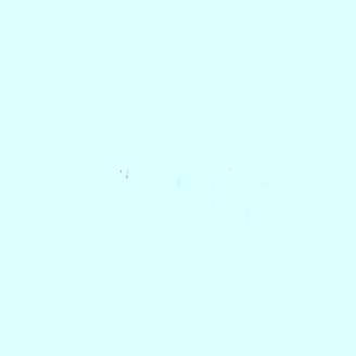 FC(F)=C(F)C(F)(F)OC(F)(F)C(F)(F)C(F)(F)C(F)(F)N1CCCC1